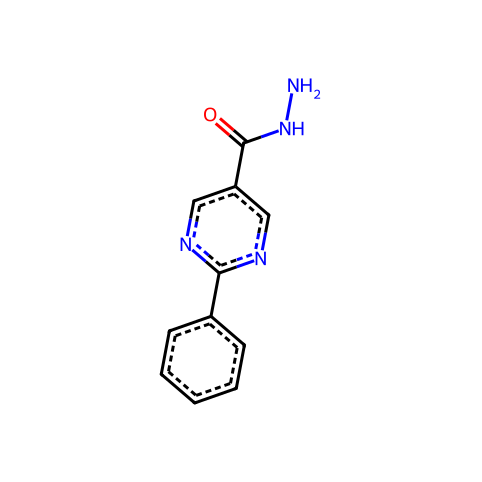 NNC(=O)c1cnc(-c2ccccc2)nc1